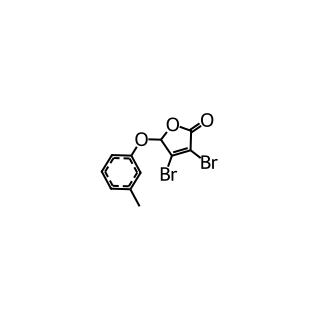 Cc1cccc(OC2OC(=O)C(Br)=C2Br)c1